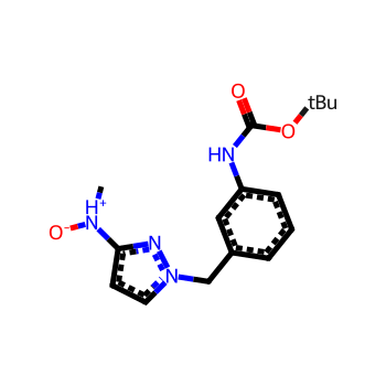 C[NH+]([O-])c1ccn(Cc2cccc(NC(=O)OC(C)(C)C)c2)n1